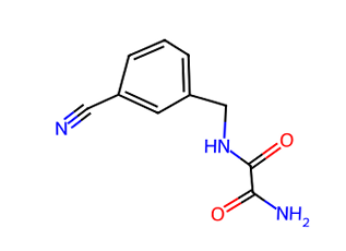 N#Cc1cccc(CNC(=O)C(N)=O)c1